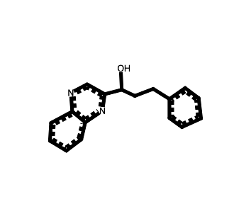 OC(CCc1ccccc1)c1cnc2ccccc2n1